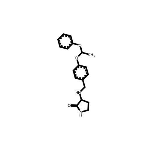 CC(Oc1ccccc1)Oc1ccc(CNC2CCNC2=O)cc1